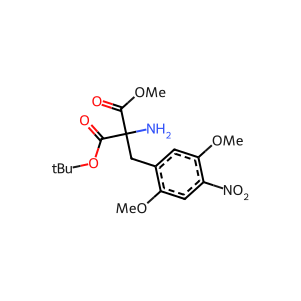 COC(=O)C(N)(Cc1cc(OC)c([N+](=O)[O-])cc1OC)C(=O)OC(C)(C)C